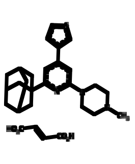 CN1CCN(c2cc(-c3ccsc3)cc(C34CC5CC(CC(C5)C3)C4)n2)CC1.O=C(O)C=CC(=O)O